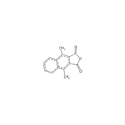 Cc1c2c(c(C)c3ccccc13)C(=O)OC2=O